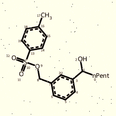 CCCCCC(O)c1cccc(COS(=O)(=O)c2ccc(C)cc2)c1